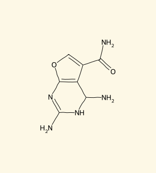 NC(=O)c1coc2c1C(N)NC(N)=N2